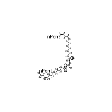 CCCCC/C=C\C/C=C\CCCCCCCC(=O)OCC(C)OC(=O)CCCCCCC/C=C\C/C=C\CCCCC